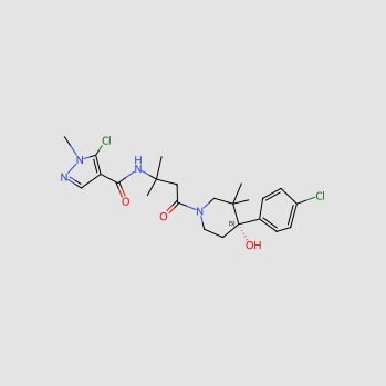 Cn1ncc(C(=O)NC(C)(C)CC(=O)N2CC[C@](O)(c3ccc(Cl)cc3)C(C)(C)C2)c1Cl